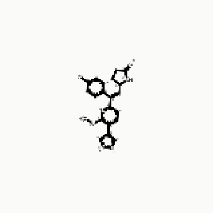 COc1nc(C(=C[C@H]2CCC(=O)N2)c2ccc(Cl)cc2)ccc1-c1cn[nH]c1